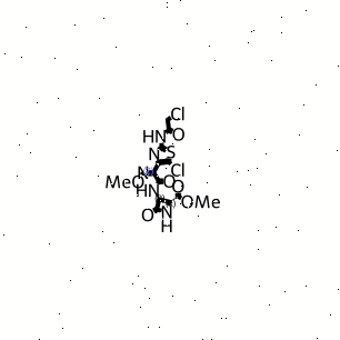 CO/N=C(\C(=O)N[C@H]1C(=O)N[C@H]1C(=O)OC)c1nc(NC(=O)CCl)sc1Cl